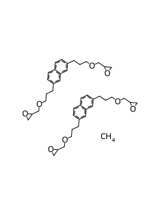 C.c1cc2ccc(CCCOCC3CO3)cc2cc1CCCOCC1CO1.c1cc2ccc(CCCOCC3CO3)cc2cc1CCCOCC1CO1